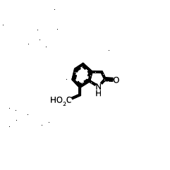 O=C(O)Cc1cccc2c1NC(=O)C2